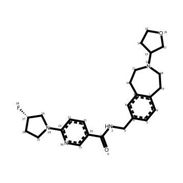 O=C(NCc1ccc2c(c1)CCN(C1CCOC1)CC2)c1ccc(N2CC[C@H](F)C2)nc1